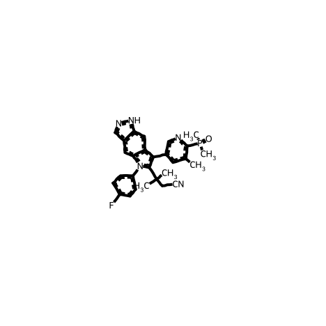 Cc1cc(-c2c(C(C)(C)CC#N)n(-c3ccc(F)cc3)c3cc4cn[nH]c4cc23)cnc1P(C)(C)=O